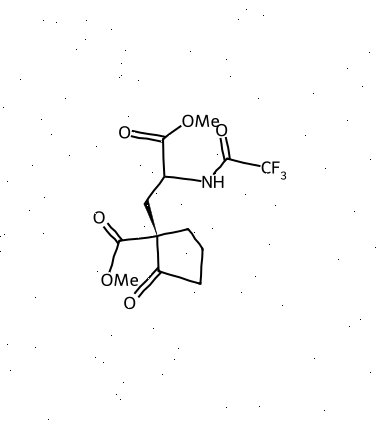 COC(=O)C(C[C@@]1(C(=O)OC)CCCC1=O)NC(=O)C(F)(F)F